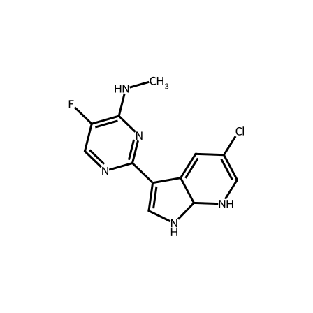 CNc1nc(C2=CNC3NC=C(Cl)C=C23)ncc1F